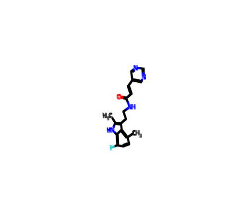 Cc1[nH]c2c(F)ccc(C)c2c1CCNC(=O)C=Cc1cncnc1